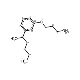 CCCCC(C)c1cccc(OCCCN)c1